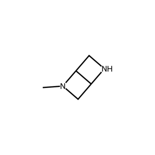 CN1CC2NCC21